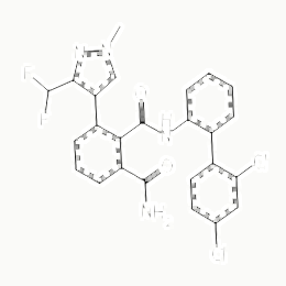 Cn1cc(-c2cccc(C(N)=O)c2C(=O)Nc2ccccc2-c2ccc(Cl)cc2Cl)c(C(F)F)n1